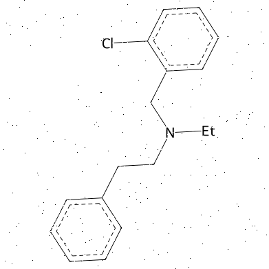 CCN(CCc1ccccc1)Cc1ccccc1Cl